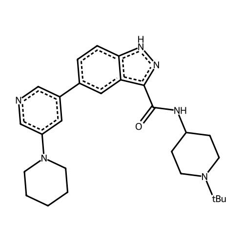 CC(C)(C)N1CCC(NC(=O)c2n[nH]c3ccc(-c4cncc(N5CCCCC5)c4)cc23)CC1